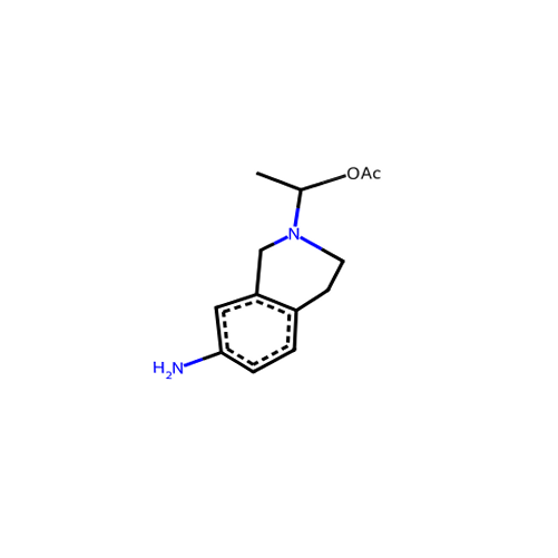 CC(=O)OC(C)N1CCc2ccc(N)cc2C1